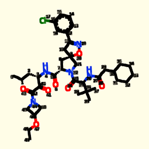 CCC[C@H](NC(=O)[C@@H]1C[C@]2(CC(c3cccc(Cl)c3)=NO2)CN1C(=O)[C@@H](NC(=O)CC1CCCCC1)C(C)(C)C)C(=O)C(=O)N1CC(OCC)C1